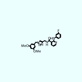 COc1cc(Cn2cc(CNC(=O)c3cccnc3Nc3cccc(F)c3)nn2)cc(OC)c1